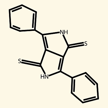 S=C1NC(c2ccccc2)=C2C(=S)NC(c3ccccc3)=C12